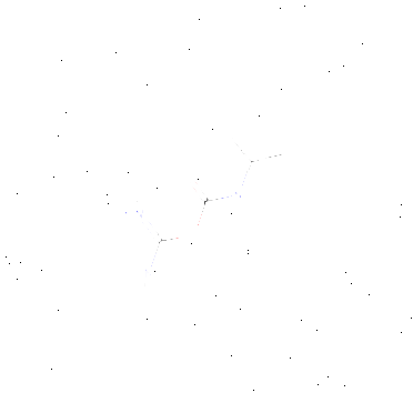 CC(C)NC(=O)OC(=N)N